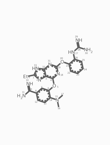 CCc1nc2c(Oc3cc(C(=N)N)ccc3N(C)C)nc(Oc3ccccc3NC(=N)N)nc2[nH]1